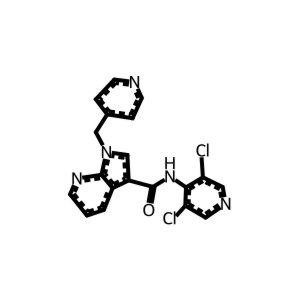 O=C(Nc1c(Cl)cncc1Cl)c1cn(Cc2ccncc2)c2ncccc12